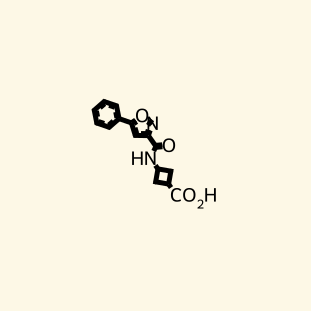 O=C(NC1CC(C(=O)O)C1)c1cc(-c2ccccc2)on1